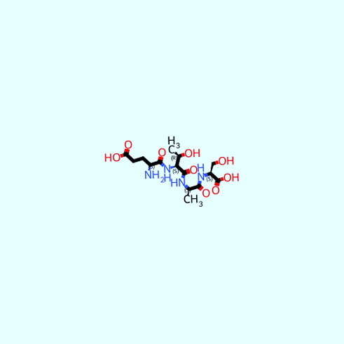 C[C@H](NC(=O)[C@@H](NC(=O)[C@@H](N)CCC(=O)O)[C@@H](C)O)C(=O)N[C@@H](CO)C(=O)O